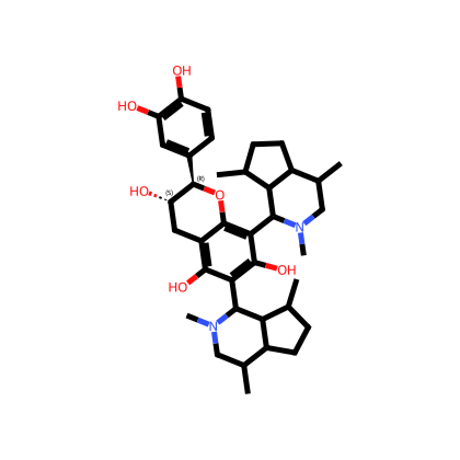 CC1CN(C)C(c2c(O)c3c(c(C4C5C(C)CCC5C(C)CN4C)c2O)O[C@H](c2ccc(O)c(O)c2)[C@@H](O)C3)C2C(C)CCC12